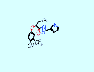 CC(C)CC(Oc1ccc(C#N)c(C(F)(F)F)c1)C(=O)NCc1cccnc1